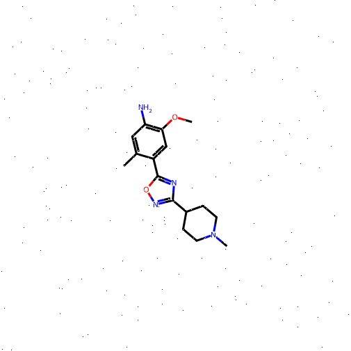 COc1cc(-c2nc(C3CCN(C)CC3)no2)c(C)cc1N